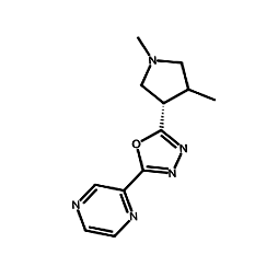 CC1CN(C)C[C@H]1c1nnc(-c2cnccn2)o1